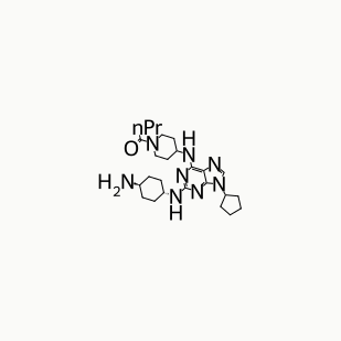 CCCC(=O)N1CCC(Nc2nc(N[C@H]3CC[C@H](N)CC3)nc3c2ncn3C2CCCC2)CC1